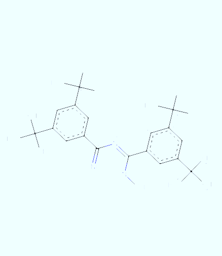 CN/C(=N\C(=N)c1cc(C(C)(C)C)cc(C(C)(C)C)c1)c1cc(C(C)(C)C)cc(C(C)(C)C)c1